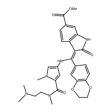 COC(=O)c1ccc2c(c1)NC(=O)C2=C(Nc1cc(C(=O)N(C)CCN(C)C)n(C)c1)c1ccc2c(c1)OCCO2